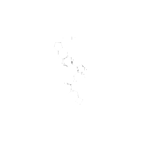 CCOC(=O)C1CCC(Oc2ncc(-c3cnn(C)c3COC(=O)N(C)CC3CCC3)nc2C)C1